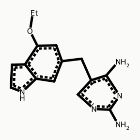 CCOc1cc(Cc2cnc(N)nc2N)cc2[nH]ccc12